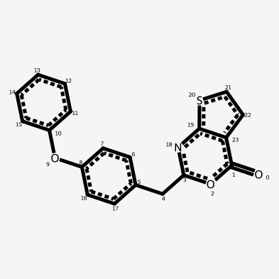 O=c1oc(Cc2ccc(Oc3ccccc3)cc2)nc2sccc12